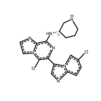 Clc1ccc2ncc(-c3nc(N[C@H]4CCCNC4)c4nccn4c3Cl)n2c1